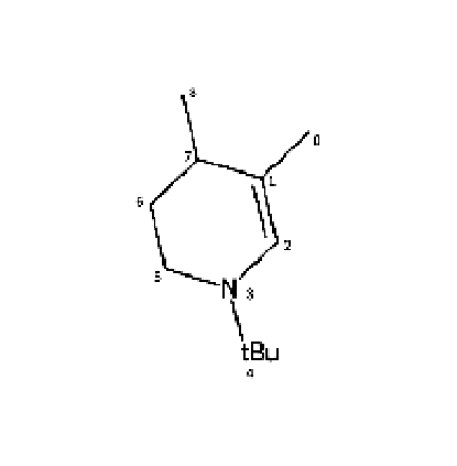 CC1=CN(C(C)(C)C)CCC1C